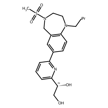 CC(C)CN1CCN(S(C)(=O)=O)Cc2cc(-c3cccc([C@H](O)CO)n3)ccc21